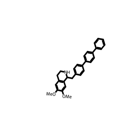 COc1cc2c(cc1OC)C(Cc1ccc(-c3ccc(-c4ccccc4)cc3)cc1)NCC2